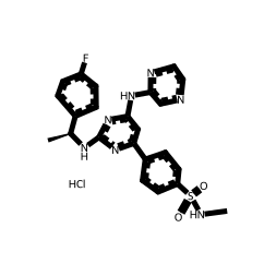 CNS(=O)(=O)c1ccc(-c2cc(Nc3cnccn3)nc(N[C@@H](C)c3ccc(F)cc3)n2)cc1.Cl